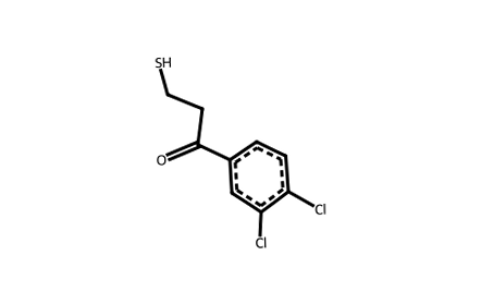 O=C(CCS)c1ccc(Cl)c(Cl)c1